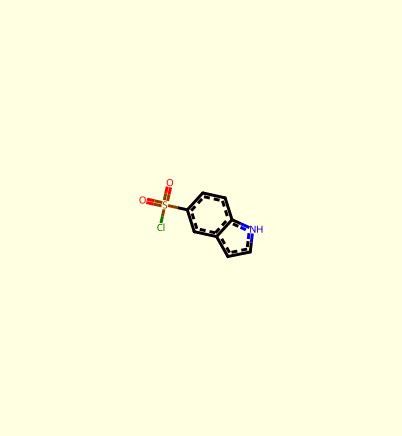 O=S(=O)(Cl)c1ccc2[nH]ccc2c1